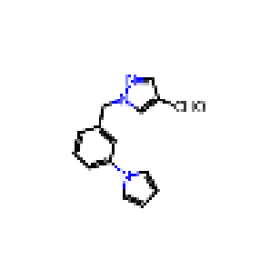 O=Cc1cnn(Cc2cccc(-n3cccc3)c2)c1